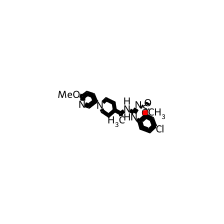 COc1ccc(N2CCC(C(C)N/C(=N/S(C)(=O)=O)Nc3ccc(Cl)cc3)CC2)cn1